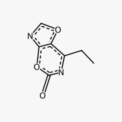 CCc1nc(=O)oc2ncoc12